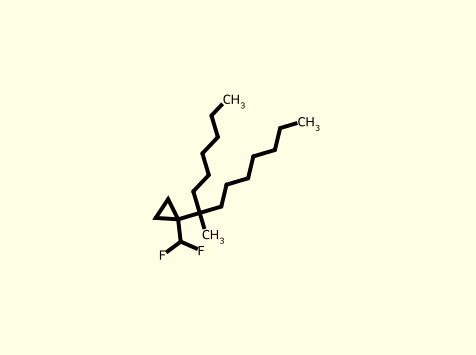 CCCCCCCC(C)(CCCCCC)C1(C(F)F)CC1